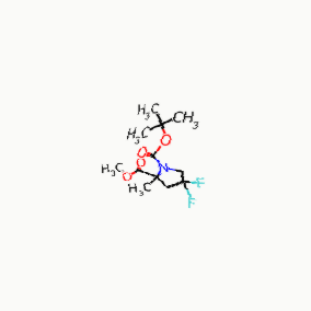 COC(=O)C1(C)CC(F)(F)CN1C(=O)OC(C)(C)C